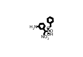 Nc1cccc(C(C[N+](=O)[O-])P(=O)(O)OCc2ccccc2)c1